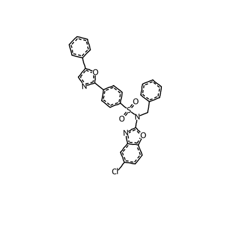 O=S(=O)(c1ccc(-c2ncc(-c3ccccc3)o2)cc1)N(Cc1ccccc1)c1nc2cc(Cl)ccc2o1